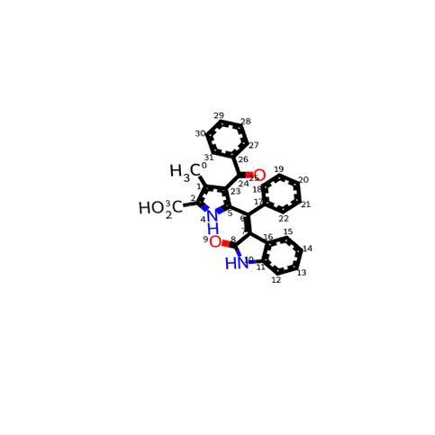 Cc1c(C(=O)O)[nH]c(C(=C2C(=O)Nc3ccccc32)c2ccccc2)c1C(=O)c1ccccc1